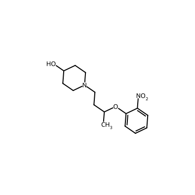 CC(CCN1CCC(O)CC1)Oc1ccccc1[N+](=O)[O-]